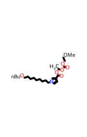 CCCCOCCCCCCCCCn1ccc(C(=O)OC(C)OC(=O)OCCOC)c1